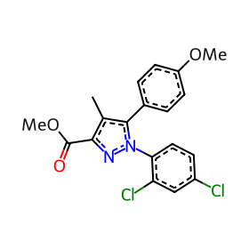 COC(=O)c1nn(-c2ccc(Cl)cc2Cl)c(-c2ccc(OC)cc2)c1C